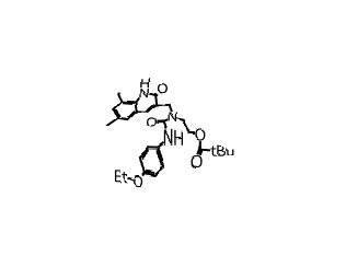 CCOc1ccc(NC(=O)N(CCOC(=O)C(C)(C)C)Cc2cc3cc(C)cc(C)c3[nH]c2=O)cc1